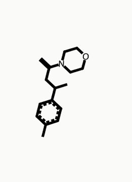 C=C(CC(C)c1ccc(C)cc1)N1CCOCC1